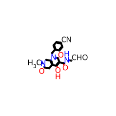 CN1Cc2c(c(O)c(C(=O)NCC=O)c(=O)n2Cc2ccc(C#N)cc2)CC1=O